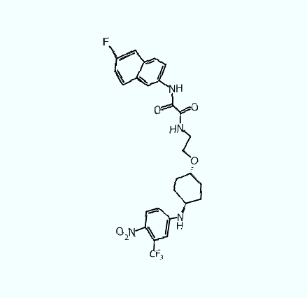 O=C(NCCO[C@H]1CC[C@H](Nc2ccc([N+](=O)[O-])c(C(F)(F)F)c2)CC1)C(=O)Nc1ccc2cc(F)ccc2c1